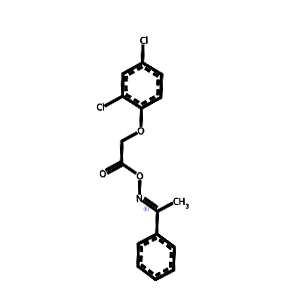 C/C(=N\OC(=O)COc1ccc(Cl)cc1Cl)c1ccccc1